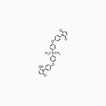 CC(C)(c1ccc(Oc2ccc(N3C(=O)C=CC3=O)cc2)cc1)c1ccc(Oc2ccc(N3C(=O)C=CC3O)cc2)cc1